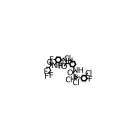 CC(CC(F)(F)F)C(=O)Nc1c(F)ccc(NC(=O)c2cc(NC(=O)[C@H]3[C@H](c4ccc(F)c(Cl)c4)C3(Cl)Cl)ccc2Cl)c1F